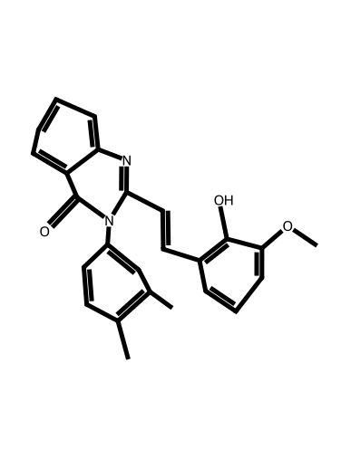 COc1cccc(C=Cc2nc3ccccc3c(=O)n2-c2ccc(C)c(C)c2)c1O